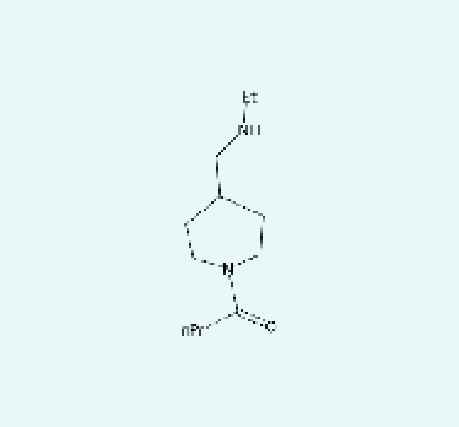 CCCC(=O)N1CCC(CNCC)CC1